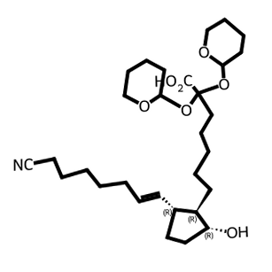 N#CCCCCCC=C[C@H]1CC[C@@H](O)[C@@H]1CCCCCC(OC1CCCCO1)(OC1CCCCO1)C(=O)O